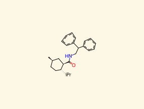 CC(C)[C@@H]1CC[C@@H](C)C[C@H]1C(=O)NCC(c1ccccc1)c1ccccc1